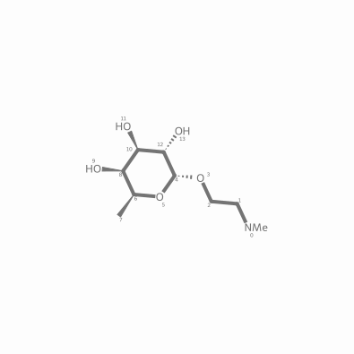 CNCCO[C@@H]1O[C@@H](C)[C@@H](O)[C@@H](O)[C@@H]1O